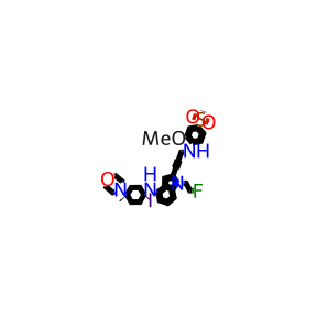 COc1cc(S(C)(=O)=O)ccc1NCC#Cc1cc2c(N[C@]3(I)CC[C@](C)(N4CCOCC4)CC3)cccc2n1CCF